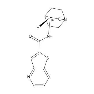 O=C(N[C@H]1CN2CCC1CC2)c1cc2ncccc2s1